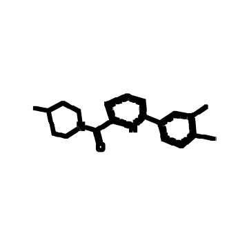 Cc1ccc(-c2cccc(C(=O)N3CCC(C)CC3)n2)cc1C